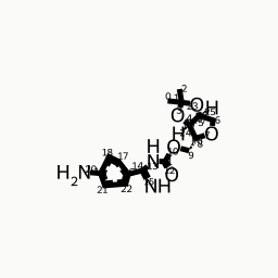 CC1(C)O[C@H]2[C@H](CO[C@@H]2COC(=O)NC(=N)c2ccc(N)cc2)O1